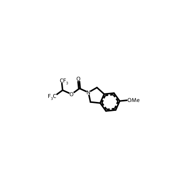 COc1ccc2c(c1)CN(C(=O)OC(C(F)(F)F)C(F)(F)F)C2